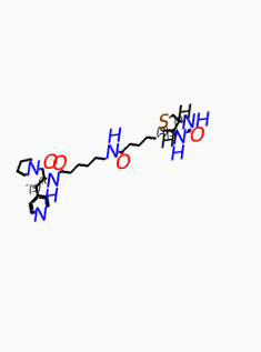 C[C@@H](c1ccncc1)[C@@H](NC(=O)CCCCCNC(=O)CCCC[C@@H]1SC[C@@H]2NC(=O)N[C@@H]21)C(=O)N1CCCC1